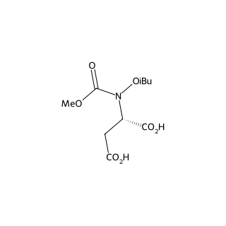 COC(=O)N(OCC(C)C)[C@@H](CC(=O)O)C(=O)O